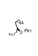 F.O=C(O)CO